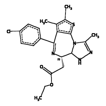 CCOC(=O)C[C@@H]1N=C(c2ccc(Cl)cc2)c2c(sc(C)c2C)N2C(C)=NNC12